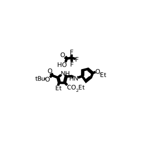 CCOC(=O)c1c(CNc2ccc(OCC)cc2)[nH]c(C(=O)OC(C)(C)C)c1CC.O=C(O)C(F)(F)F